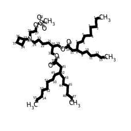 CCCCCCCCC(CCCCCC)CC(=O)OCC(CCCCN(CCOS(C)(=O)=O)C1CCC1)COC(=O)CC(CCCCCC)CCCCCCCC